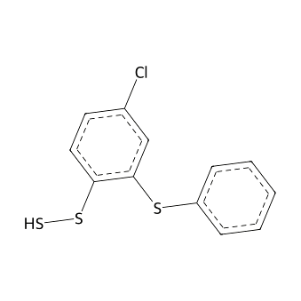 SSc1ccc(Cl)cc1Sc1ccccc1